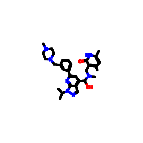 Cc1cc(C)c(CN(C)C(O)c2cc(-c3cccc(CN4CCN(C)CC4)c3)nc3c2cnn3C(C)C)c(=O)[nH]1